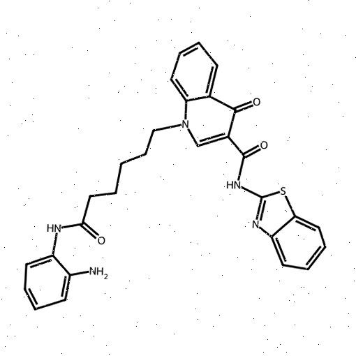 Nc1ccccc1NC(=O)CCCCCn1cc(C(=O)Nc2nc3ccccc3s2)c(=O)c2ccccc21